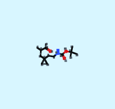 CC(=O)C(C)CC1(CCNC(=O)OC(C)(C)C)CC1